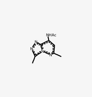 CC(=O)Nc1cc(C)nn2c(C)nnc12